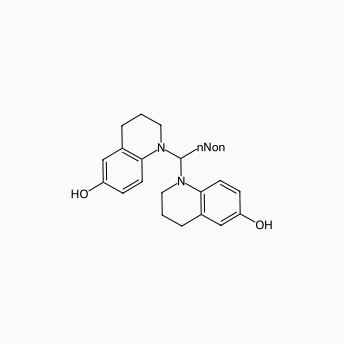 CCCCCCCCCC(N1CCCc2cc(O)ccc21)N1CCCc2cc(O)ccc21